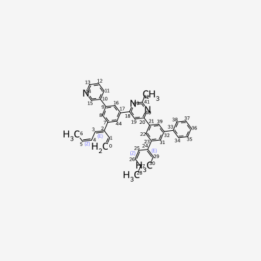 C=C/C(=C\C=C/C)c1cc(-c2cccnc2)cc(-c2cc(-c3cc(C(/C=C\CC)=C/C)cc(-c4ccccc4)c3)nc(C)n2)c1